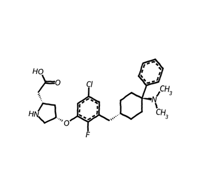 CN(C)[C@]1(c2ccccc2)CC[C@@H](Cc2cc(Cl)cc(O[C@@H]3CN[C@H](CC(=O)O)C3)c2F)CC1